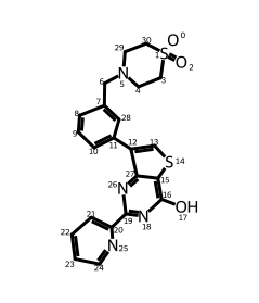 O=S1(=O)CCN(Cc2cccc(-c3csc4c(O)nc(-c5ccccn5)nc34)c2)CC1